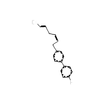 CC/C=C/C/C=C\Cc1ccc(-c2ccc(F)cc2)cc1